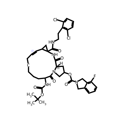 CC(C)(C)OC(=O)NC1CCCCC/C=C\C2CC2(C(=O)NCCc2c(Cl)cccc2Cl)NC(=O)[C@@H]2CC(OC(=O)N3Cc4cccc(F)c4C3)CN2C1=O